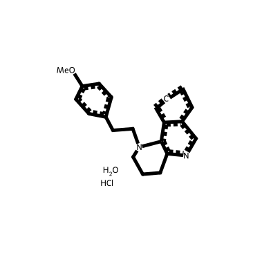 COc1ccc(CCN2CCCc3ncc4ccccc4c32)cc1.Cl.O